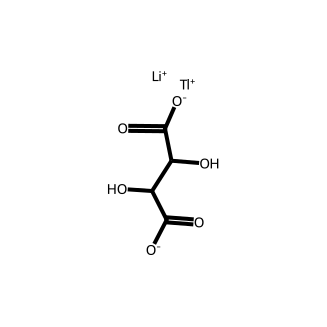 O=C([O-])C(O)C(O)C(=O)[O-].[Li+].[Tl+]